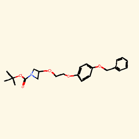 CC(C)(C)OC(=O)N1CC(OCCOc2ccc(OCc3ccccc3)cc2)C1